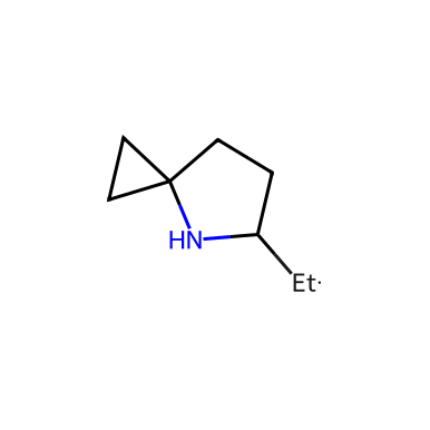 C[CH]C1CCC2(CC2)N1